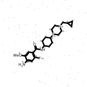 COc1cc(C(=O)NC2CCC(N3CCN(CC4CC4)CC3)CC2)c(F)cc1N